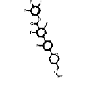 CCCOCC1CCC(c2ccc(-c3cc(F)c(C(=O)Oc4cc(F)c(F)c(F)c4)c(F)c3)c(F)c2)OC1